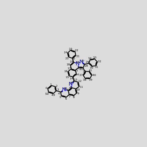 c1ccc(-c2ccc3ccc4ccc(-c5ccc6cc(-c7ccccc7)n7nc(-c8ccccc8)c(-c8ccccc8)c7c6c5)nc4c3n2)cc1